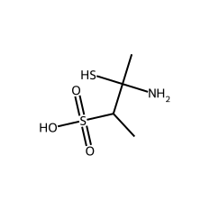 CC(C(C)(N)S)S(=O)(=O)O